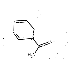 N=C(N)N1C=NC=CC1